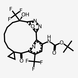 CC(C)(C)OC(=O)Nc1cc(C(F)(F)F)c2nc1-c1nnc(o1)[C@@](O)(C(F)(F)F)CCCCCC1(CC1)C2=O